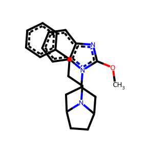 COc1nc2ccccc2n1C1CC2CCC(C1)N2CCCc1ccccc1